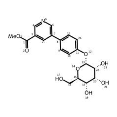 COC(=O)c1cncc(-c2ccc(O[C@H]3O[C@H](CO)[C@@H](O)[C@@H](O)[C@H]3O)cc2)c1